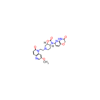 COc1cnc2ccc(=O)n(CCN3CC[C@H]4[C@@H](C3)OC(=O)N4c3ccc4c(n3)NC(=O)CO4)c2c1